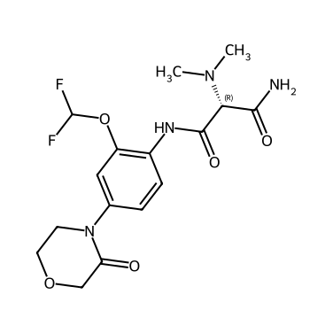 CN(C)[C@H](C(N)=O)C(=O)Nc1ccc(N2CCOCC2=O)cc1OC(F)F